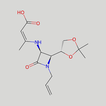 C=CCN1C(=O)[C@@H](N/C(C)=C\C(=O)O)[C@H]1[C@@H]1COC(C)(C)O1